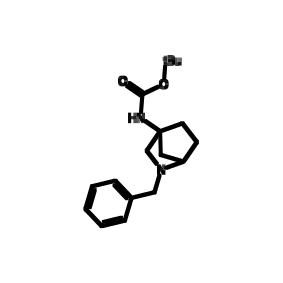 CC(C)(C)OC(=O)NC12CCC(C1)N(Cc1ccccc1)C2